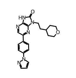 O=c1[nH]c2ncc(-c3ccc(-n4cccn4)cc3)nc2n1CCC1CCOCC1